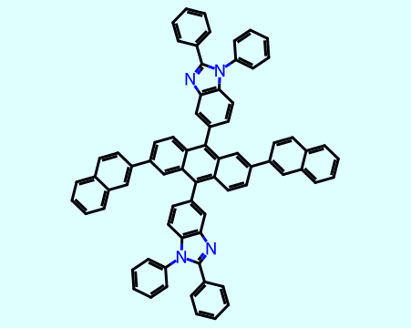 c1ccc(-c2nc3cc(-c4c5ccc(-c6ccc7ccccc7c6)cc5c(-c5ccc6c(c5)nc(-c5ccccc5)n6-c5ccccc5)c5ccc(-c6ccc7ccccc7c6)cc45)ccc3n2-c2ccccc2)cc1